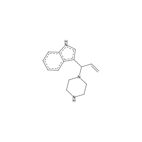 C=CC(c1c[nH]c2ccccc12)N1CCNCC1